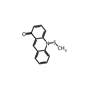 CSn1c2cccc(=O)c-2cc2ccccc21